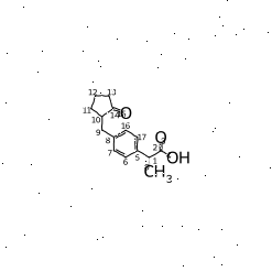 C[C@@H](C(=O)O)c1ccc(CC2CCCC2=O)cc1